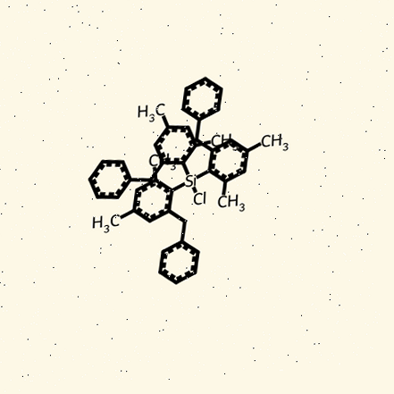 Cc1cc(C)c([Si](Cl)(c2c(C)cc(C)cc2Cc2ccccc2)c2c(C)cc(C)cc2Cc2ccccc2)c(Cc2ccccc2)c1